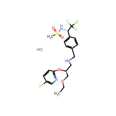 CCOC[C@H](CNCc1ccc([C@H](NS(C)(=O)=O)C(F)(F)F)cc1)Oc1ccc(F)cn1.Cl